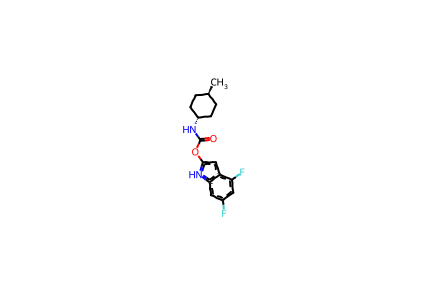 C[C@H]1CC[C@H](NC(=O)Oc2cc3c(F)cc(F)cc3[nH]2)CC1